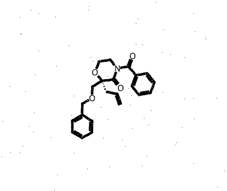 C=CC[C@]1(COCc2ccccc2)OCCN(C(=O)c2ccccc2)C1=O